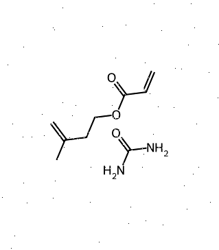 C=CC(=O)OCCC(=C)C.NC(N)=O